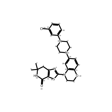 CC1(C)Cc2nc(N3CCOc4ccc(N5CCN(c6cccc(Cl)c6)CC5)cc43)sc2C(=O)N1